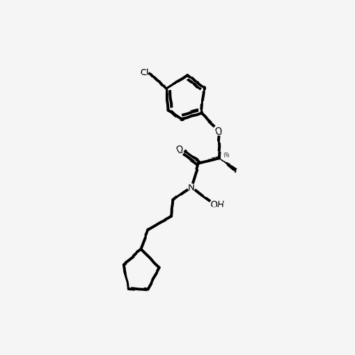 C[C@H](Oc1ccc(Cl)cc1)C(=O)N(O)CCCC1CCCC1